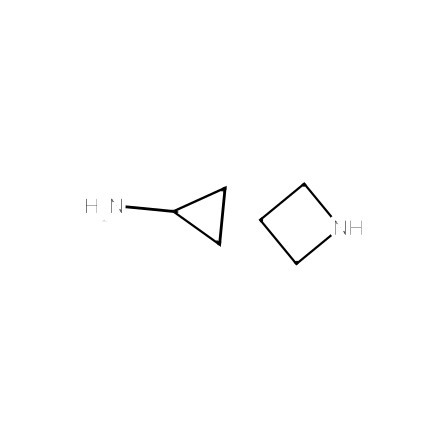 C1CNC1.NC1CC1